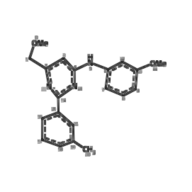 COCc1cc(Nc2cccc(OC)c2)nc(-c2cccc(C)c2)n1